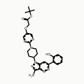 CC(C)(C)OC(=O)COc1cnc(N2CCC(n3nc(N)c4nnc(-c5ccccc5O)cc43)CC2)nc1